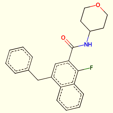 O=C(NC1CCOCC1)c1cc(Cc2ccccc2)c2ccccc2c1F